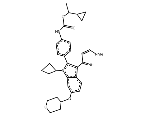 CN/C=C\C(=N)c1c(-c2ccc(NC(=O)OC(C)C3CC3)cc2)n(C2CCC2)c2cc(OC3CCOCC3)ccc12